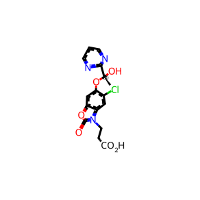 C[C@@](O)(Oc1cc2oc(=O)n(CCC(=O)O)c2cc1Cl)c1ncccn1